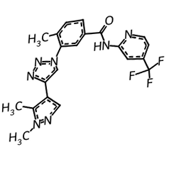 Cc1ccc(C(=O)Nc2cc(C(F)(F)F)ccn2)cc1-n1cc(-c2cnn(C)c2C)nn1